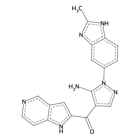 Cc1nc2cc(-n3ncc(C(=O)c4cc5cnccc5[nH]4)c3N)ccc2[nH]1